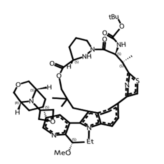 CCn1c(-c2cc([C@H]3C[C@H]4COC[C@@H](C3)N4C3COC3)cnc2[C@H](C)OC)c2c3cc(ccc31)-c1csc(n1)[C@@H](C)[C@H](NC(=O)OC(C)(C)C)C(=O)N1CCC[C@H](N1)C(=O)OCC(C)(C)C2